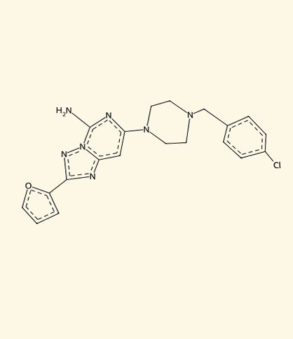 Nc1nc(N2CCN(Cc3ccc(Cl)cc3)CC2)cc2nc(-c3ccco3)nn12